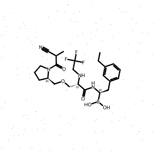 CCc1cccc(C[C@H](NC(=O)[C@H](COC[C@H]2CCCN2C(=O)C(C)C#N)NCC(F)(F)F)B(O)O)c1